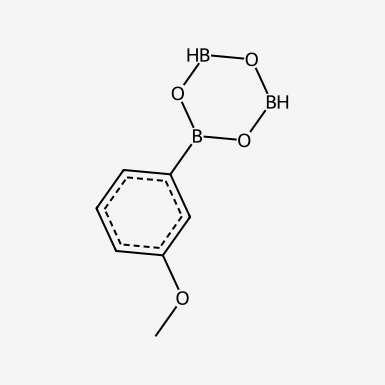 COc1cccc(B2OBOBO2)c1